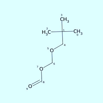 CC(C)(C)COCO[C]=O